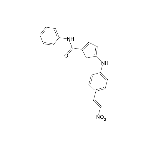 O=C(Nc1ccccc1)C1=CC=C(Nc2ccc(/C=C/[N+](=O)[O-])cc2)C1